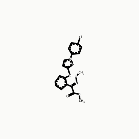 CO/N=C(/C(=O)OC)c1ccccc1Oc1ccn(-c2ccc(Cl)cc2)n1